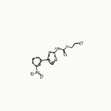 O=C(Nc1nc(-c2cccc([N+](=O)[O-])c2)cs1)OCCCl